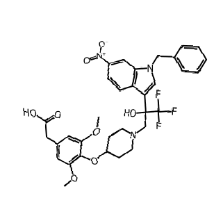 COc1cc(CC(=O)O)cc(OC)c1OC1CCN(CC(O)(c2cn(Cc3ccccc3)c3cc([N+](=O)[O-])ccc23)C(F)(F)F)CC1